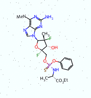 CCOC(=O)[C@H](C)N[P@](=S)(OC[C@@]1(F)O[C@@H](n2cnc3c(NC)nc(N)nc32)[C@](C)(F)[C@@H]1O)Oc1ccccc1